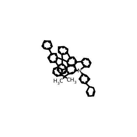 CC1(C)c2ccccc2-c2ccc(N(c3ccc(C4C=CC=CC4)cc3)c3ccccc3-c3ccc4c(c3)-c3ccccc3C43c4ccccc4-c4ccc(-c5ccccc5)cc43)cc21